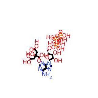 Nc1ncnc2c1ncn2[C@@H]1O[C@H](CO)[C@@H](O)[C@H]1O.O=C(O)CC(O)(CC(=O)O)C(=O)O.O=P(O)(O)OP(=O)(O)OP(=O)(O)O